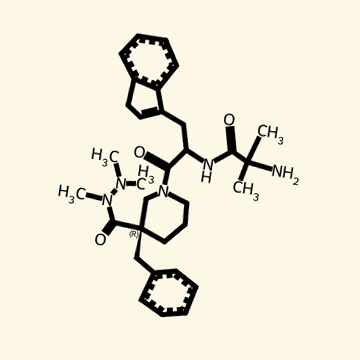 CN(C)N(C)C(=O)[C@@]1(Cc2ccccc2)CCCN(C(=O)C(CC2=CCc3ccccc32)NC(=O)C(C)(C)N)C1